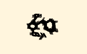 O=C(O)c1ccc(O)c(Cc2ccccn2)c1